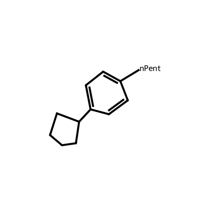 [CH2]CCCCc1ccc(C2CCCC2)cc1